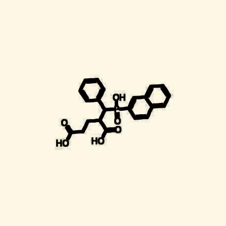 O=C(O)CCC(C(=O)O)C(c1ccccc1)P(=O)(O)c1ccc2ccccc2c1